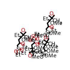 CCC(CC(OC)[Si](OC)(OC)OC)(OC)C1(C)COC1.CCOC(CC(CC)(OC)C1(C)COC1)[Si](OCC)(OCC)OCC.CCOC(C[SiH](OC)OC)CC(CC)(OC)C1(C)COC1.CCOC(C[SiH](OCC)OCC)CC(CC)(OC)C1(C)COC1